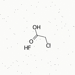 F.O=C(O)CCl